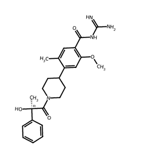 COc1cc(C2CCN(C(=O)[C@](C)(O)c3ccccc3)CC2)c(C)cc1C(=O)NC(=N)N